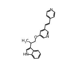 CC(COc1cncc(C=Cc2ccncc2)c1)c1c[nH]c2ccccc12